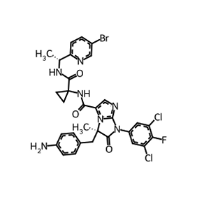 C[C@@H](NC(=O)C1(NC(=O)c2cnc3n2[C@](C)(Cc2ccc(N)cc2)C(=O)N3c2cc(Cl)c(F)c(Cl)c2)CC1)c1ccc(Br)cn1